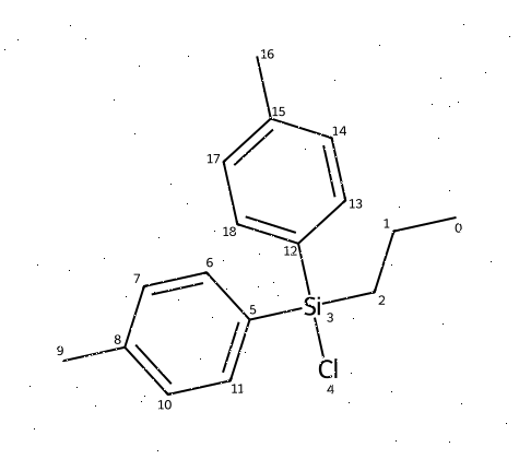 CCC[Si](Cl)(c1ccc(C)cc1)c1ccc(C)cc1